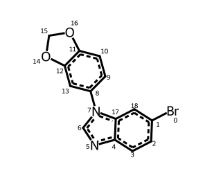 Brc1ccc2ncn(-c3ccc4c(c3)OCO4)c2c1